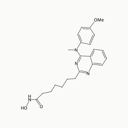 COc1ccc(N(C)c2nc(CCCCCCC(=O)NO)nc3ccccc23)cc1